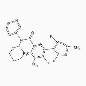 Cc1cc(F)c(-c2nc(C(=O)N(c3cccnc3)C3CCCCO3)c(C)c(C)c2F)c(F)c1